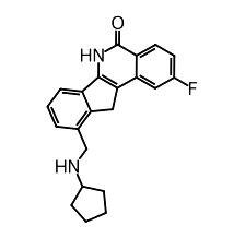 O=c1[nH]c2c(c3cc(F)ccc13)Cc1c(CNC3CCCC3)cccc1-2